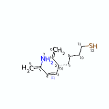 C=C[C@@H](/C=C\C(=C)N)CCCCS